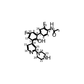 CC(=O)Nc1ccc(-c2cc(F)cc(-c3ccnc(N4CCNCC4)c3)c2O)cc1F